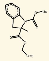 CC(C)(C)OC(=O)N1c2ccccc2CC1(C)C(=O)OCC=O